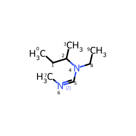 CCC(C)N(/C=N\C)CC